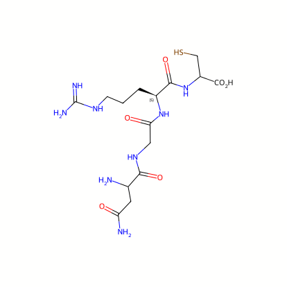 N=C(N)NCCC[C@H](NC(=O)CNC(=O)C(N)CC(N)=O)C(=O)NC(CS)C(=O)O